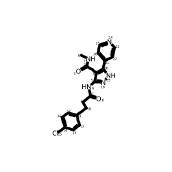 CNC(=O)c1c(NC(=O)CCc2ccc(Cl)cc2)n[nH]c1-c1ccncc1